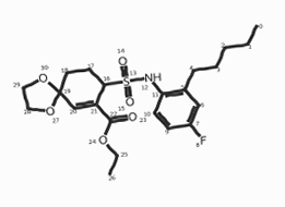 CCCCCc1cc(F)ccc1NS(=O)(=O)C1CCC2(C=C1C(=O)OCC)OCCO2